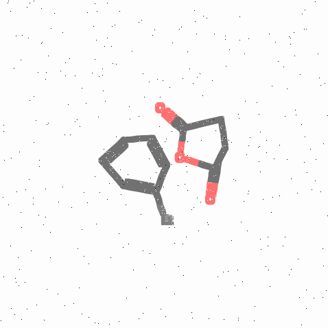 CCc1ccccc1.O=C1CCC(=O)O1